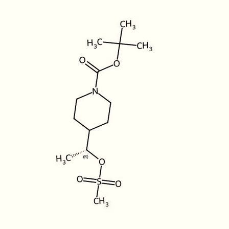 C[C@@H](OS(C)(=O)=O)C1CCN(C(=O)OC(C)(C)C)CC1